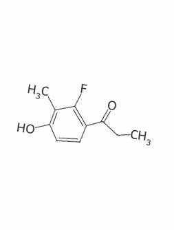 CCC(=O)c1ccc(O)c(C)c1F